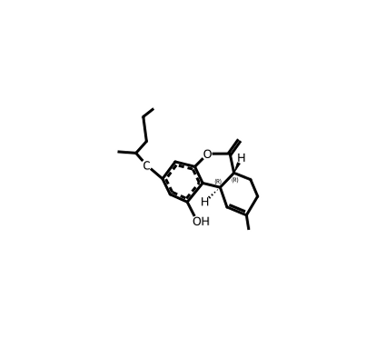 C=C1Oc2cc(CC(C)CCC)cc(O)c2[C@@H]2C=C(C)CC[C@@H]12